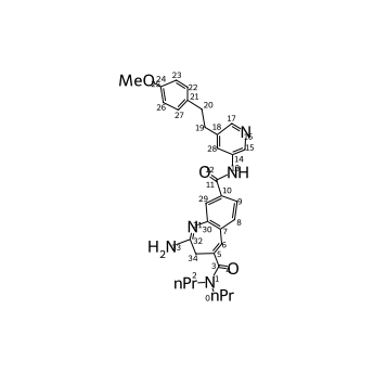 CCCN(CCC)C(=O)C1=Cc2ccc(C(=O)Nc3cncc(CCc4ccc(OC)cc4)c3)cc2N=C(N)C1